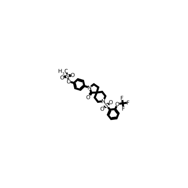 CS(=O)(=O)Oc1ccc(N2CCC3(CCN(S(=O)(=O)c4ccccc4OC(F)(F)F)CC3)C2=O)cc1